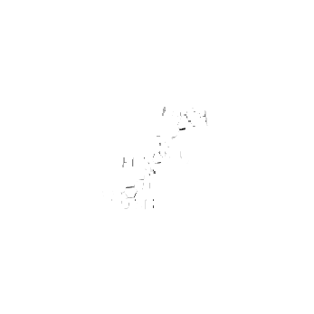 Nc1cc(C(=O)NCCc2cc(O)c(O)c(O)c2)c(N)cc1C(=O)NCCc1cc(O)c(O)c(O)c1